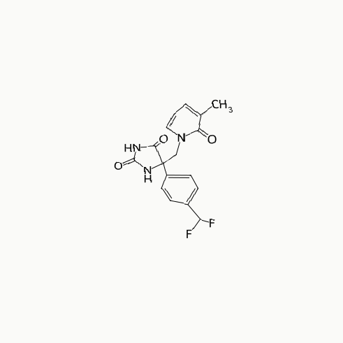 Cc1cccn(CC2(c3ccc(C(F)F)cc3)NC(=O)NC2=O)c1=O